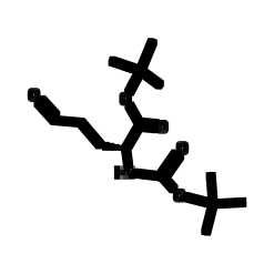 CC(C)(C)OC(=O)N[C@H](CCC=O)C(=O)OC(C)(C)C